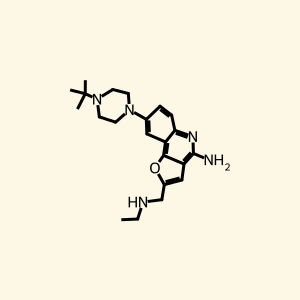 CCNCc1cc2c(N)nc3ccc(N4CCN(C(C)(C)C)CC4)cc3c2o1